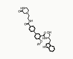 CC(C)Oc1ccc(-c2ccc(C(=O)NCCN3CCNC(=O)C3)cc2)cc1C(=O)N[C@@H](CO)Cc1c[nH]c2ccccc12